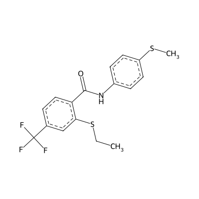 CCSc1cc(C(F)(F)F)ccc1C(=O)Nc1ccc(SC)cc1